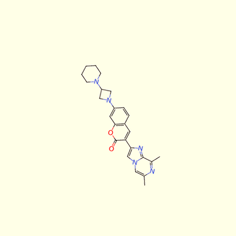 Cc1cn2cc(-c3cc4ccc(N5CC(N6CCCCC6)C5)cc4oc3=O)nc2c(C)n1